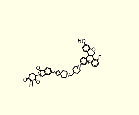 O=C1CCC(N2Cc3cc(N4CC5(CCN(CC6CCN(c7ccc(C8c9ccc(O)cc9OCC8c8c(F)cccc8F)cc7)CC6)CC5)C4)ccc3C2=O)C(=O)N1